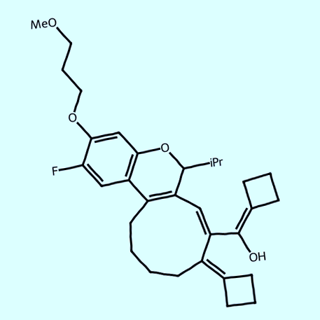 COCCCOc1cc2c(cc1F)C1=C(/C=C(/C(O)=C3CCC3)C(=C3CCC3)CCCC1)C(C(C)C)O2